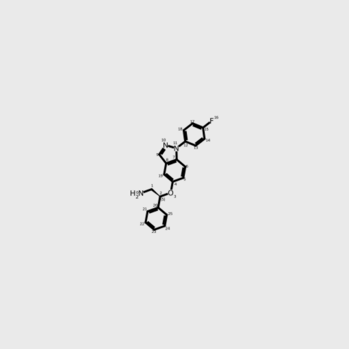 NC[C@@H](Oc1ccc2c(cnn2-c2ccc(F)cc2)c1)c1ccccc1